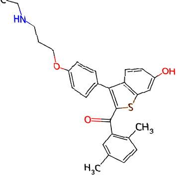 CCNCCCOc1ccc(-c2c(C(=O)c3cc(C)ccc3C)sc3cc(O)ccc23)cc1